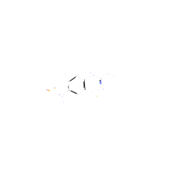 C=S(C)(=O)Nc1ccc2c(c1)S(=O)(=O)N=C(CC(=O)O)N2